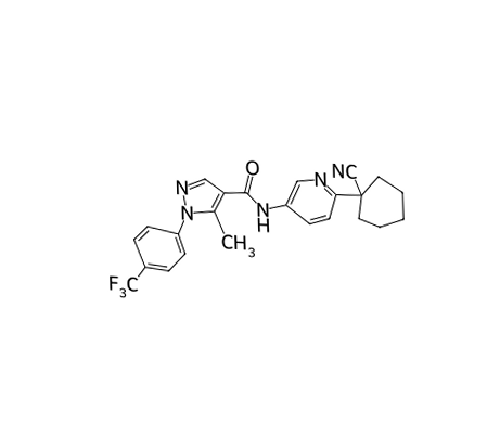 Cc1c(C(=O)Nc2ccc(C3(C#N)CCCCC3)nc2)cnn1-c1ccc(C(F)(F)F)cc1